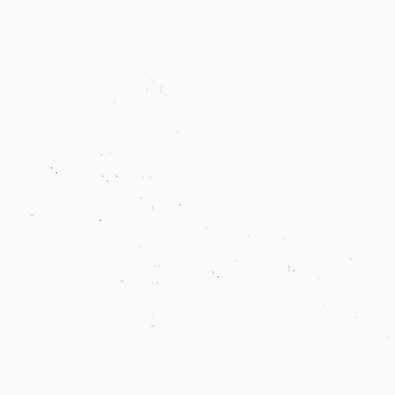 CC(C)(C)OC(=O)N1CCC(Nc2ccc(S(=O)(=O)N(C(=O)OC(C)(C)C)c3cscn3)cc2C(F)(F)F)C1